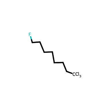 FCCCCCCCC(Cl)(Cl)Cl